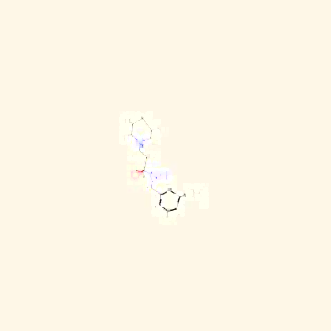 Cc1cccc(CNC(=O)CCN2CCCCC2)c1